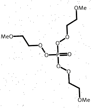 COCCOOP(=O)(OOCCOC)OOCCOC